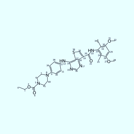 CCOC(=O)N1CCN(c2ccc(Nc3ncnc4c(C(=O)Nc5c(C)c(OC)cc(OC)c5I)csc34)cc2)CC1